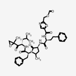 CC(C)C[C@H](NC(=O)[C@H](Cc1ccccc1)N1C(=O)[C@@H](NC(=O)[C@H](CCc2ccccc2)NC(=O)c2cnc(COC=O)s2)CC1C)C(=O)C1(C)CO1